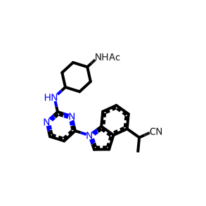 CC(=O)NC1CCC(Nc2nccc(-n3ccc4c(C(C)C#N)cccc43)n2)CC1